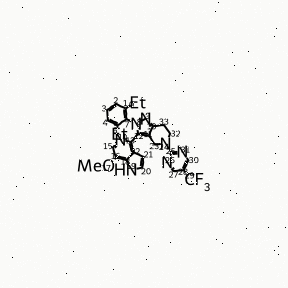 CCc1cccc(CC)c1-n1nc2c(c1-c1ncc(OC)c3[nH]ccc13)CN(c1ncc(C(F)(F)F)cn1)CC2